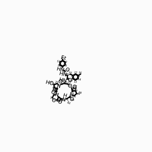 CCc1ccc(NC(=O)N[C@@H](Cc2cccc(C)c2)C(=O)N[C@@H]2C(=O)N3C[C@H](O)C[C@H]3C(=O)N3CCOC[C@H]3C(=O)N[C@@H](C)C(=O)N3C[C@H](C)C[C@H]3C(=O)O[C@H]2C)cc1